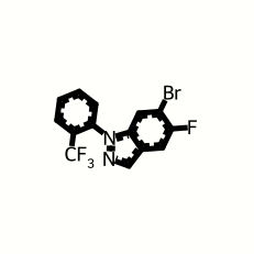 Fc1cc2cnn(-c3ccccc3C(F)(F)F)c2cc1Br